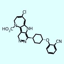 N#Cc1ccccc1O[C@H]1CC[C@H](C2=c3[nH]c4c(c3CN=N2)N(C(=O)O)CC=C(Cl)C=4)CC1